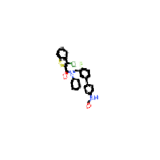 O=CNc1ccc(-c2ccc(F)c(CN(C(=O)c3sc4ccccc4c3Cl)C3CCCCC3)c2)cc1